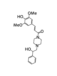 COc1cc(C=CC(=O)N2CCN(CC(O)c3ccccc3)CC2)cc(OC)c1O